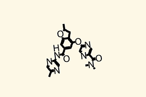 Cc1cnc(NC(=O)c2cc(Oc3cnc(C(=O)N(C)C)cn3)c3c(c2)OC(C)C3)cn1